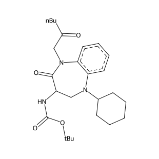 CCCCC(=O)CN1C(=O)C(NC(=O)OC(C)(C)C)CN(C2CCCCC2)c2ccccc21